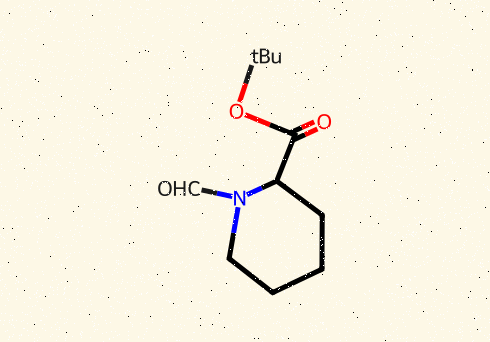 CC(C)(C)OC(=O)C1CCCCN1C=O